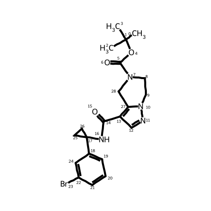 CC(C)(C)OC(=O)N1CCn2ncc(C(=O)NC3(c4cccc(Br)c4)CC3)c2C1